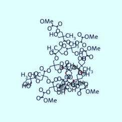 COC(=O)C(=O)OCC(C)(CO)C(=O)OCC(C)(COC(=O)C(C)(CO)CO)C(=O)OCC(COC(=O)C(C)(COC(=O)C(C)(CO)CO)COC(=O)C(C)(CO)CO)(COC(=O)C(C)(COC(=O)C(C)(CO)COC(=O)C(=O)OC)COC(=O)C(C)(CO)COC(=O)C(=O)OC)COC(=O)C(C)(COC(=O)C(C)(CO)COC(=O)C(=O)OC)COC(=O)C(C)(CO)COC(=O)C(=O)OC